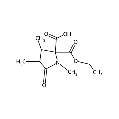 CCOC(=O)C1(C(=O)O)C(C)C(C)C(=O)N1C